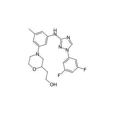 Cc1cc(Nc2ncn(-c3cc(F)cc(F)c3)n2)cc(N2CCOC(CCO)C2)c1